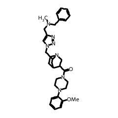 COc1ccccc1N1CCN(C(=O)C2CN3CCC2CC3Cn2cc(CN(C)Cc3ccccc3)nn2)CC1